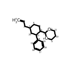 C=CCC1CCC(C2OCCCO2)C(c2ccccc2)C1